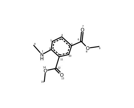 CNc1ccc(C(=O)OC)cc1C(=O)OC